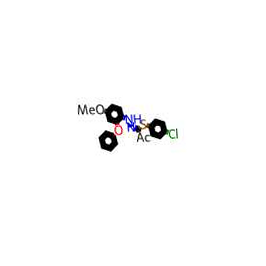 COc1ccc(NN=C(Sc2ccc(Cl)cc2)C(C)=O)c(Oc2ccccc2)c1